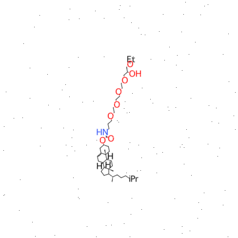 CCOCC(O)COCCOCCOCCOCCCNC(=O)OC1CC[C@@]2(C)C(=CC[C@@H]3[C@@H]2CC[C@]2(C)C([C@H](C)CCCC(C)C)CC[C@@H]32)C1